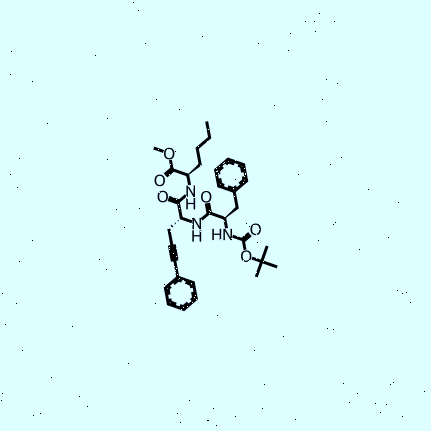 CCCC[C@@H](NC(=O)[C@@H](CC#Cc1ccccc1)NC(=O)[C@@H](Cc1ccccc1)NC(=O)OC(C)(C)C)C(=O)OC